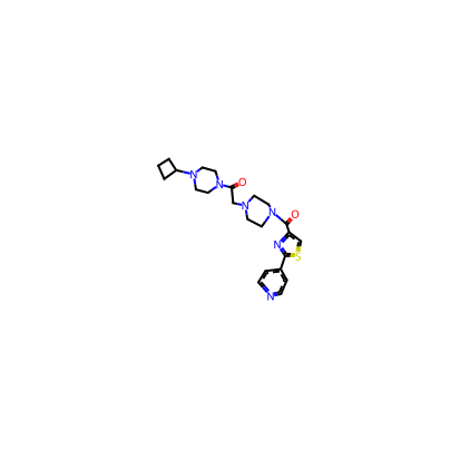 O=C(CN1CCN(C(=O)c2csc(-c3ccncc3)n2)CC1)N1CCN(C2CCC2)CC1